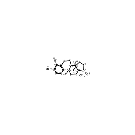 C[C@]12CC[C@@H]3c4ccc(O)c(Br)c4CC[C@H]3[C@@H]1CC[C@@H]2O